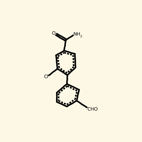 NC(=O)c1ccc(-c2cccc(C=O)c2)c(Cl)c1